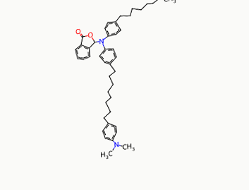 CCCCCCCCc1ccc(N(c2ccc(CCCCCCCCc3ccc(N(C)C)cc3)cc2)C2OC(=O)c3ccccc32)cc1